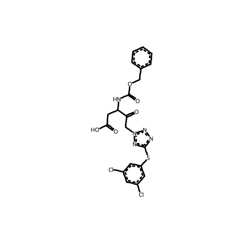 O=C(O)CC(NC(=O)OCc1ccccc1)C(=O)Cn1nnc(Sc2cc(Cl)cc(Cl)c2)n1